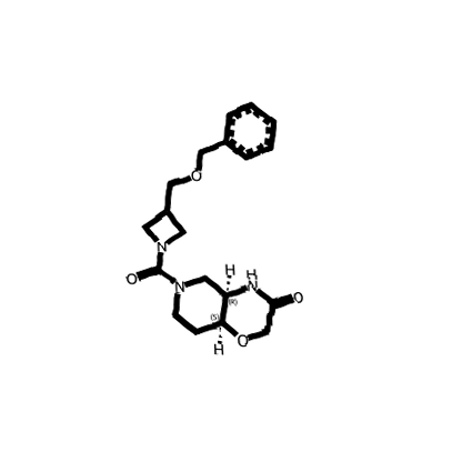 O=C1CO[C@H]2CCN(C(=O)N3CC(COCc4ccccc4)C3)C[C@H]2N1